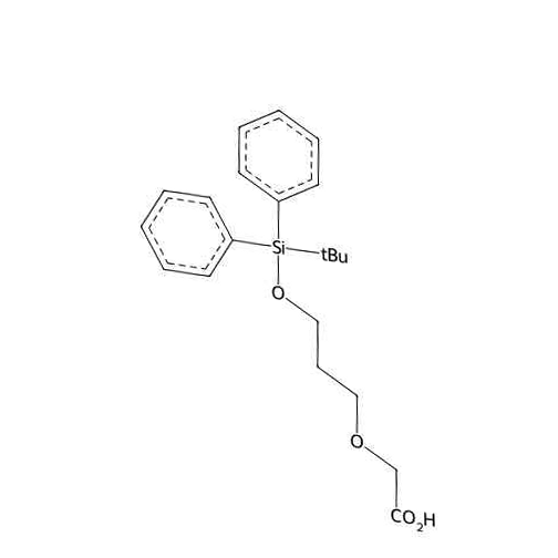 CC(C)(C)[Si](OCCCOCC(=O)O)(c1ccccc1)c1ccccc1